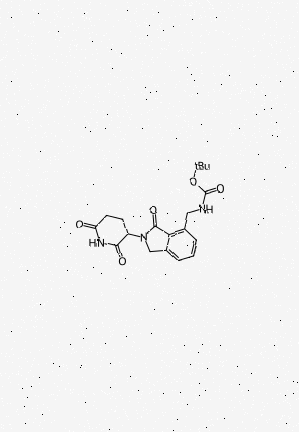 CC(C)(C)OC(=O)NCc1cccc2c1C(=O)N(C1CCC(=O)NC1=O)C2